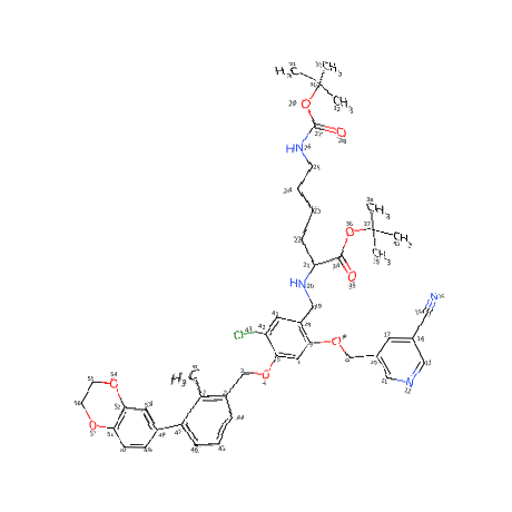 Cc1c(COc2cc(OCc3cncc(C#N)c3)c(CNC(CCCCNC(=O)OC(C)(C)C)C(=O)OC(C)(C)C)cc2Cl)cccc1-c1ccc2c(c1)OCCO2